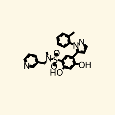 Cc1ccccc1-n1nccc1-c1cc(S(=O)(=O)N(C)Cc2cccnc2)c(O)cc1O